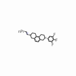 CCC/C=C/[C@H]1CCc2c(ccc3c2CC[C@H](c2cc(F)c(F)c(F)c2)C3)C1